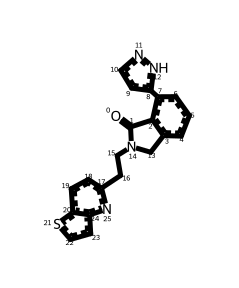 O=C1c2c(cccc2-c2ccn[nH]2)CN1CCc1ccc2sccc2n1